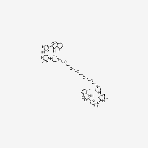 Cc1nc(Nc2ncc(C(=O)Nc3c(C)cccc3Cl)s2)cc(N2CCN(CCOCCOCCOCCOCCOCCN3CCN(c4cc(Nc5ncc(C(=O)Nc6c(C)cccc6Cl)s5)nc(C)n4)CC3)CC2)n1